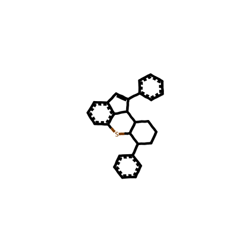 C1=C(c2ccccc2)C2c3c1cccc3SC1C(c3ccccc3)CCCC21